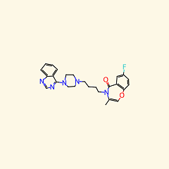 CC1=COc2ccc(F)cc2C(=O)N1CCCCN1CCN(c2ncnc3ccccc23)CC1